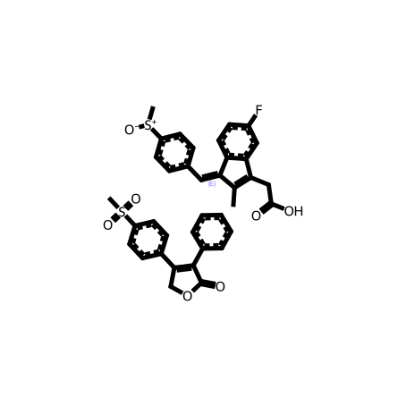 CC1=C(CC(=O)O)c2cc(F)ccc2/C1=C\c1ccc([S+](C)[O-])cc1.CS(=O)(=O)c1ccc(C2=C(c3ccccc3)C(=O)OC2)cc1